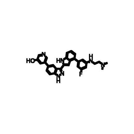 CN(C)CCNc1cc(F)cc(-c2cccc3[nH]c(-c4n[nH]c5ccc(-c6cncc(O)c6)cc45)cc23)c1